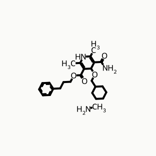 CC1=C(C(N)=O)C(OCC2CCCCC2)C(C(=O)OCCCc2ccccc2)=C(C)N1.CN